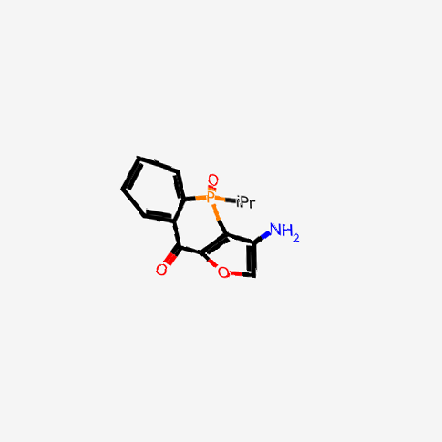 CC(C)P1(=O)c2ccccc2C(=O)c2occ(N)c21